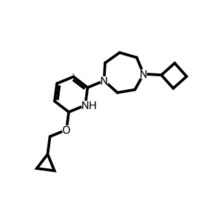 [C]1=C(N2CCCN(C3CCC3)CC2)NC(OCC2CC2)C=C1